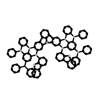 c1ccc(C(c2ccccc2)c2cc3c4c(c2)N(c2cccc5c2oc2ccccc25)c2cc5c(cc2B4c2ccccc2N3c2ccccc2)c2cccc3c4cc6c(cc4n5c23)N(c2cccc3c2oc2ccccc23)c2cc(N(c3ccccc3)c3ccccc3)cc3c2B6c2ccccc2N3c2ccccc2)cc1